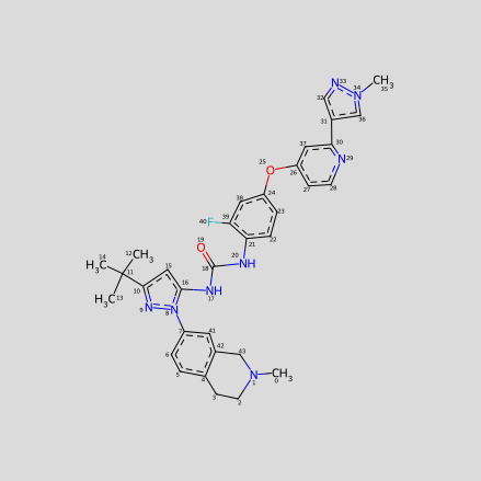 CN1CCc2ccc(-n3nc(C(C)(C)C)cc3NC(=O)Nc3ccc(Oc4ccnc(-c5cnn(C)c5)c4)cc3F)cc2C1